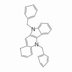 C1=CCC2=Cc3c(c4ccccc4n3Cc3ccccc3)N(Cc3ccccc3)C2=C1